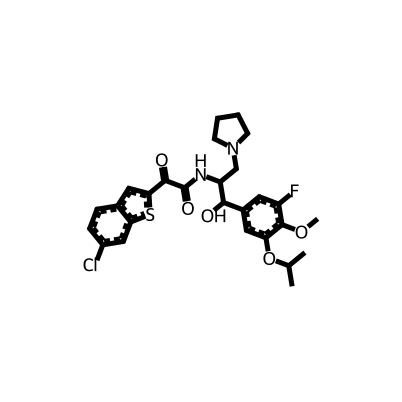 COc1c(F)cc(C(O)C(CN2CCCC2)NC(=O)C(=O)c2cc3ccc(Cl)cc3s2)cc1OC(C)C